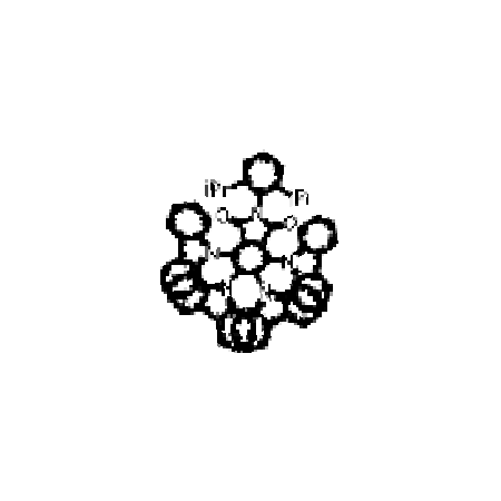 CC(C)c1cccc(C(C)C)c1N1C(=O)c2c(c(-n3c4ccccc4c4ccccc43)c(-n3c4ccccc4c4ccccc43)c(-n3c4ccccc4c4ccccc43)c2-n2c3ccccc3c3ccccc32)C1=O